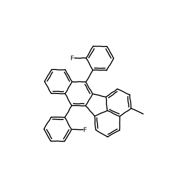 Cc1ccc2c3c(cccc13)-c1c-2c(-c2ccccc2F)c2ccccc2c1-c1ccccc1F